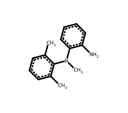 Cc1cccc(C)c1N(C)c1ccccc1N